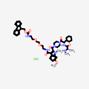 CN[C@@H](C)C(=O)N[C@H](C(=O)N1CCN(C(=O)c2c(C(=O)NCCOCCOCCNC(=O)OCC3c4ccccc4-c4ccccc43)c3ccc(OC)cc3n2C)CC1)C1CCCCC1.Cl